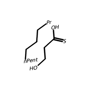 CCCCCCC[CH2][Pr].OCCC(O)=S